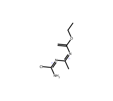 C=C(/N=C(C)\N=C(/N)Cl)OCC